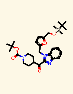 CC(C)(C)OC(=O)N1CCC(C(=O)c2nc3ccccc3n2Cc2ccc(CO[Si](C)(C)C(C)(C)C)o2)CC1